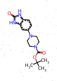 CC(C)(C)OC(=O)N1CCN(c2ccc3[nH]c(=O)[nH]c3c2)CC1